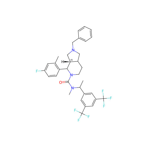 Cc1cc(F)ccc1C1[C@@H]2CN(Cc3ccccc3)CC2CCN1C(=O)N(C)C(C)c1cc(C(F)(F)F)cc(C(F)(F)F)c1